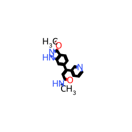 CNC(=O)C=C(c1cccnc1)c1ccc2c(OC)n[nH]c2c1